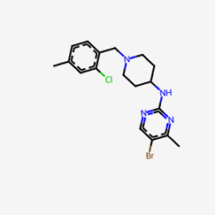 Cc1ccc(CN2CCC(Nc3ncc(Br)c(C)n3)CC2)c(Cl)c1